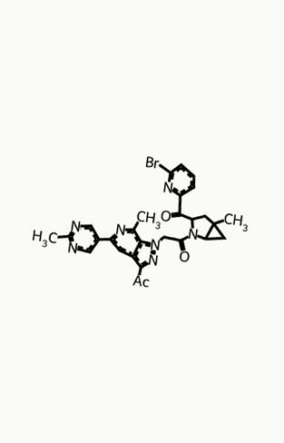 CC(=O)c1nn(CC(=O)N2C(C(=O)c3cccc(Br)n3)CC3(C)CC23)c2c(C)nc(-c3cnc(C)nc3)cc12